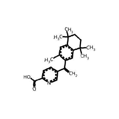 C=C(c1ccc(C(=O)O)nc1)c1cc2c(cc1C)C(C)(C)CCC2(C)C